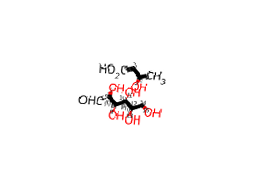 CC(O)CC(=O)O.O=C[C@H](O)[C@@H](O)[C@H](O)[C@H](O)CO